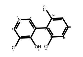 Oc1c(Cl)cncc1-c1c(Cl)c[c]cc1Cl